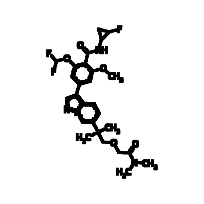 COc1cc(-c2cnn3cc(C(C)(C)COCC(=O)N(C)C)ccc23)cc(OC(F)F)c1C(=O)NC1CC1F